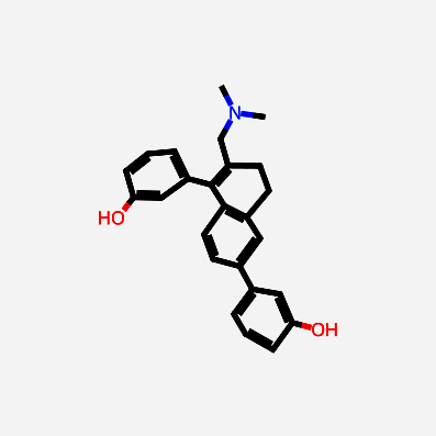 CN(C)CC1=C(c2cccc(O)c2)c2ccc(-c3cccc(O)c3)cc2CC1